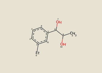 CCc1cccc(C(O)C(C)O)c1